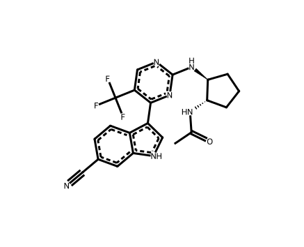 CC(=O)N[C@H]1CCC[C@@H]1Nc1ncc(C(F)(F)F)c(-c2c[nH]c3cc(C#N)ccc23)n1